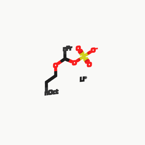 CCCCCCCCCCOC(CCC)OS(=O)(=O)[O-].[Li+]